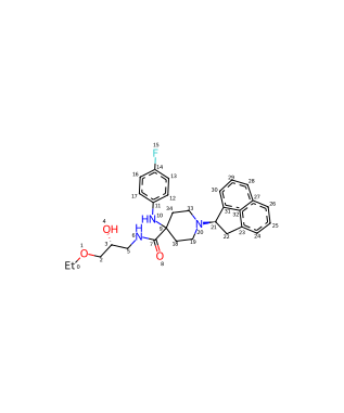 CCOC[C@H](O)CNC(=O)C1(Nc2ccc(F)cc2)CCN([C@@H]2Cc3cccc4cccc2c34)CC1